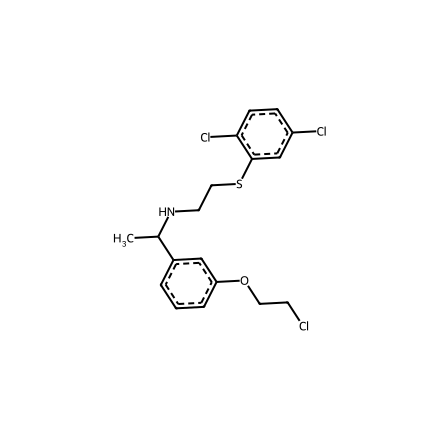 CC(NCCSc1cc(Cl)ccc1Cl)c1cccc(OCCCl)c1